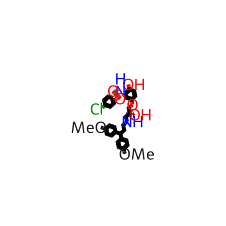 COc1ccc(C(CCNC[C@H](O)COc2ccc(O)c(NS(=O)(=O)c3ccc(Cl)cc3)c2)c2ccc(OC)cc2)cc1